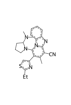 CCc1nc(-c2c(C)c(C#N)c3nc4ccccc4n3c2N2CCCC2N(C)C)cs1